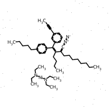 CC#Cc1cccc(C(=C(CCCC)C(=C=[N+]=[N-])CCCCCCCC)c2ccc(CCCCC)cc2)c1.CC[N](CC)[Ni][N](CC)CC